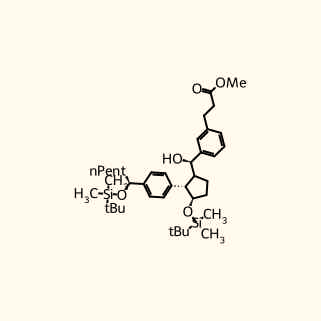 CCCCC[C@H](O[Si](C)(C)C(C)(C)C)c1ccc([C@@H]2C([C@@H](O)c3cccc(CCC(=O)OC)c3)CC[C@H]2O[Si](C)(C)C(C)(C)C)cc1